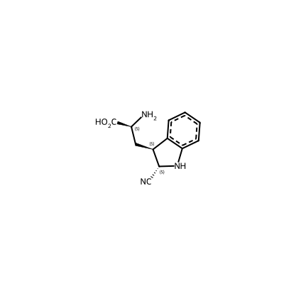 N#C[C@H]1Nc2ccccc2[C@@H]1C[C@H](N)C(=O)O